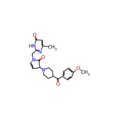 COc1ccc(C(=O)C2CCN(C3C=CN(Cc4nc(C)cc(=O)[nH]4)C3=O)CC2)cc1